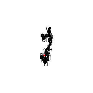 C=CC(=O)N1CCN(c2nc(O[C@H](C)CN3CCC(OCCOCCNC(=O)c4ccc(NC(=O)[C@@H]5N[C@@H](CC(C)(C)C)[C@](C#N)(c6ccc(Cl)cc6F)[C@H]5c5cccc(Cl)c5F)c(OC)c4)CC3)nc3c2CCN(c2cc(O)cc4ccccc24)C3)CC1